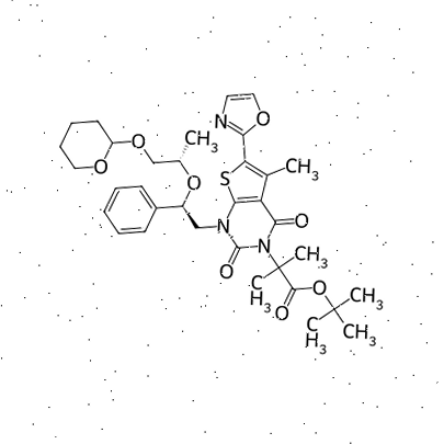 Cc1c(-c2ncco2)sc2c1c(=O)n(C(C)(C)C(=O)OC(C)(C)C)c(=O)n2C[C@H](O[C@@H](C)COC1CCCCO1)c1ccccc1